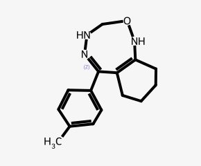 Cc1ccc(/C2=N/NCONC3=C2CCCC3)cc1